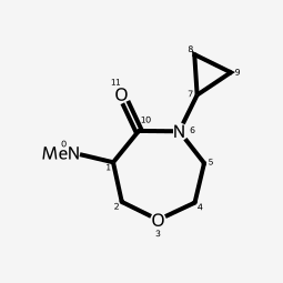 CNC1COCCN(C2CC2)C1=O